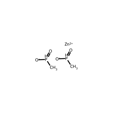 C[PH](=O)[O-].C[PH](=O)[O-].[Zn+2]